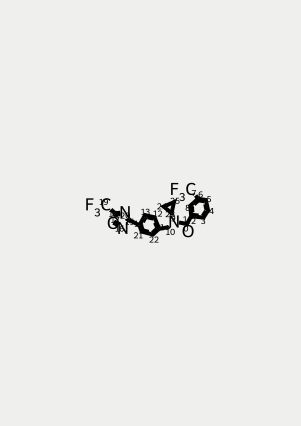 O=C(c1cccc(C(F)(F)F)c1)N(Cc1ccc(-c2noc(C(F)(F)F)n2)cc1)C1CC1